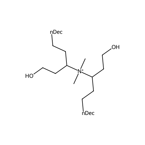 CCCCCCCCCCCCC(CCO)[N+](C)(C)C(CCO)CCCCCCCCCCCC